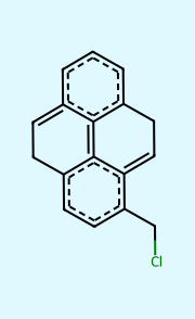 ClCc1ccc2c3c1=CCc1cccc(c1=3)=CC2